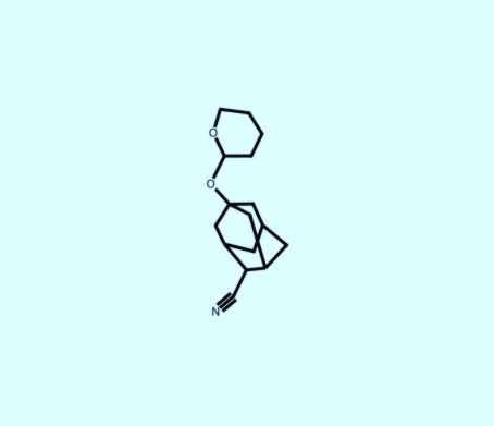 N#CC1C2CC3CC1CC(OC1CCCCO1)(C3)C2